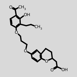 CCCc1c(OCCCOc2ccc3c(c2)CCC(CC(=O)O)O3)ccc(C(C)=O)c1O